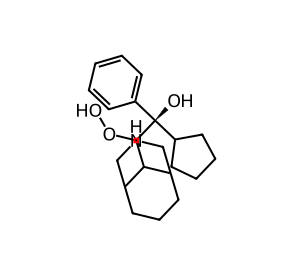 OOC(C1C2CCCC1CNC2)[C@](O)(c1ccccc1)C1CCCC1